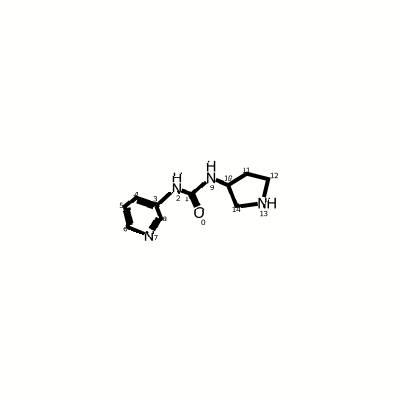 O=C(Nc1cccnc1)NC1CCNC1